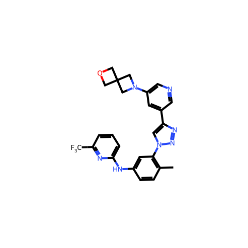 Cc1ccc(Nc2cccc(C(F)(F)F)n2)cc1-n1cc(-c2cncc(N3CC4(COC4)C3)c2)nn1